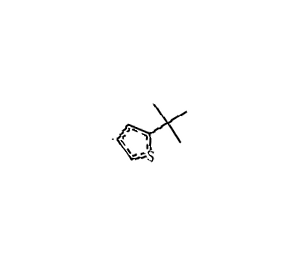 CC(C)(C)c1c[c]cs1